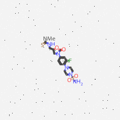 CNC(=S)NCC1CN(c2ccc(N3CCN(S(N)(=O)=O)CC3)c(F)c2)C(=O)O1